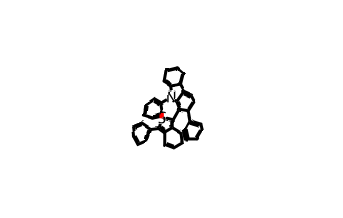 c1cccc(-c2ccc3c4ccccc4n(-c4ccccc4)c3c2-c2sc(-c3ccccc3)c3c2CCC=C3)c#1